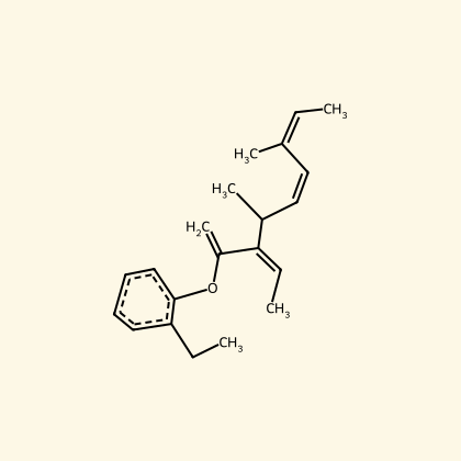 C=C(Oc1ccccc1CC)/C(=C\C)C(C)/C=C\C(C)=C/C